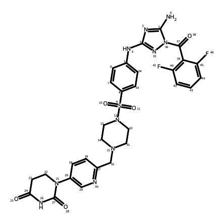 Nc1nc(Nc2ccc(S(=O)(=O)N3CCN(Cc4ccc(N5CCC(=O)NC5=O)cn4)CC3)cc2)nn1C(=O)c1c(F)cccc1F